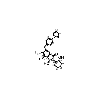 O=C1c2cc(Cc3ccc(-n4cccn4)cc3)c(C(F)(F)F)c(Cl)c2C(O)N1[C@@H]1CCCC[C@H]1O